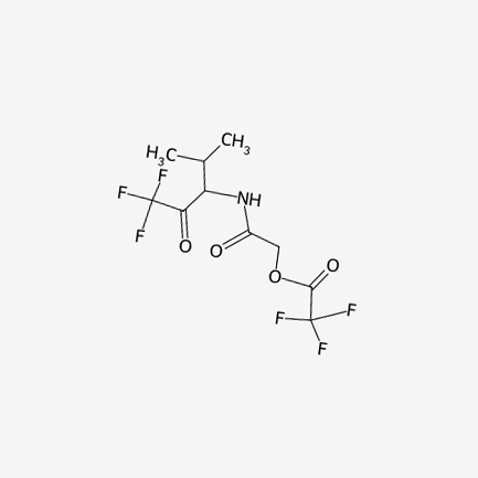 CC(C)C(NC(=O)COC(=O)C(F)(F)F)C(=O)C(F)(F)F